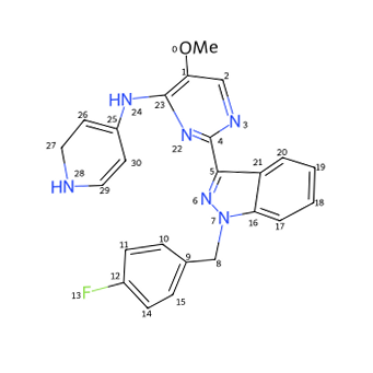 COc1cnc(-c2nn(Cc3ccc(F)cc3)c3ccccc23)nc1NC1=CCNC=C1